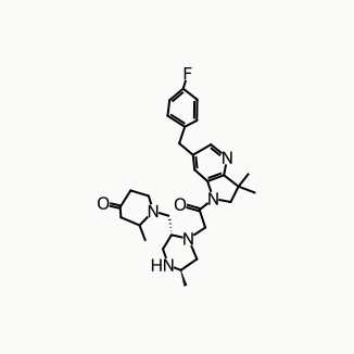 CC1CC(=O)CCN1C[C@H]1CN[C@H](C)CN1CC(=O)N1CC(C)(C)c2ncc(Cc3ccc(F)cc3)cc21